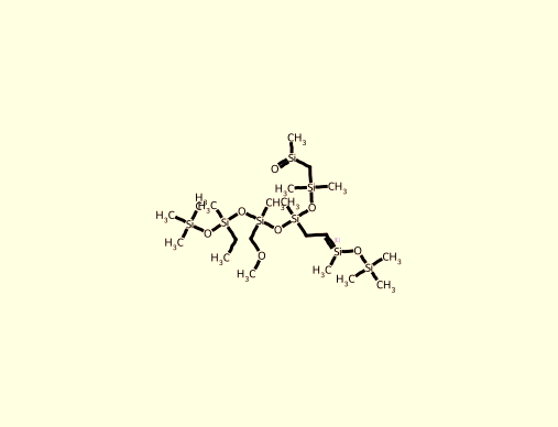 CC[Si](C)(O[Si](C)(C)C)O[Si](C)(COC)O[Si](C)(C/C=[Si](\C)O[Si](C)(C)C)O[Si](C)(C)C[Si](C)=O